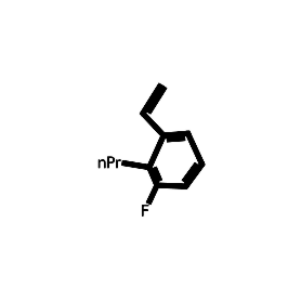 C=Cc1cccc(F)c1CCC